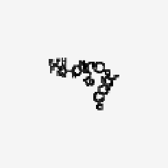 Fc1cc(Cl)ccc1Cc1ncc(F)c(OC2CCN(Cc3nc4cc(-c5nnc(C(F)(F)F)[nH]5)ncc4n3C[C@@H]3CCO3)CC2)n1